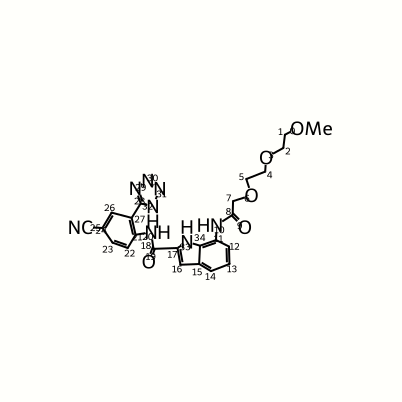 COCCOCCOCC(=O)Nc1cccc2cc(C(=O)Nc3ccc(C#N)cc3-c3nnn[nH]3)[nH]c12